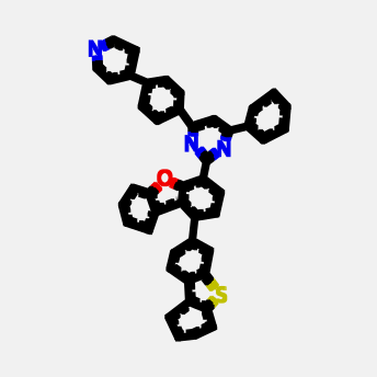 c1ccc(-c2cc(-c3ccc(-c4ccncc4)cc3)nc(-c3ccc(-c4ccc5c(c4)sc4ccccc45)c4c3oc3ccccc34)n2)cc1